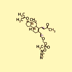 C=C(C)O[C@H]1CCC2[C@@H]3CCC(/C=C/OCOP(C)(=O)ON=[N+]=[N-])=C(/C=C/C(C)=O)C3CC[C@@]21C